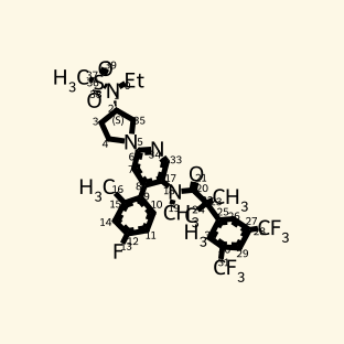 CCN([C@H]1CCN(c2cc(-c3ccc(F)cc3C)c(N(C)C(=O)C(C)(C)c3cc(C(F)(F)F)cc(C(F)(F)F)c3)cn2)C1)S(C)(=O)=O